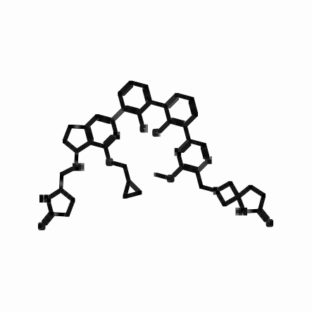 COc1nc(-c2cccc(-c3cccc(-c4cc5c(c(OCC6CC6)n4)C(NCC4CCC(=O)N4)CC5)c3Cl)c2Cl)cnc1CN1CC2(CCC(=O)N2)C1